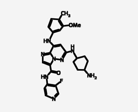 COc1cc(Nc2cc(NC3CCC(N)CC3)nn3c(C(=O)Nc4ccncc4F)cnc23)ccc1C